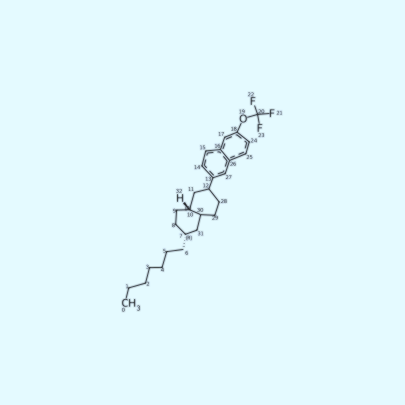 CCCCCCC[C@@H]1CC[C@@H]2CC(c3ccc4cc(OC(F)(F)F)ccc4c3)CCC2C1